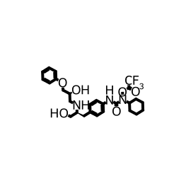 O=C(Nc1ccc(C[C@@H](CO)NC[C@H](O)COc2ccccc2)cc1)N(OC(=O)C(F)(F)F)C1CCCCC1